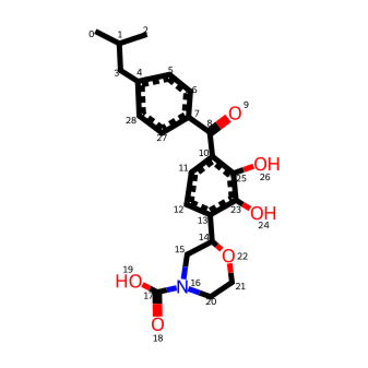 CC(C)Cc1ccc(C(=O)c2ccc(C3CN(C(=O)O)CCO3)c(O)c2O)cc1